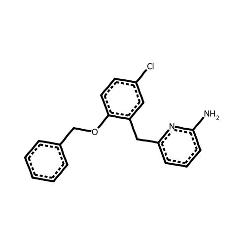 Nc1cccc(Cc2cc(Cl)ccc2OCc2ccccc2)n1